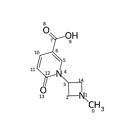 CN1CC(n2cc(C(=O)O)ccc2=O)C1